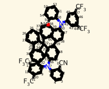 N#Cc1ccccc1N(c1cc(C(F)(F)F)cc(C(F)(F)F)c1)c1ccc2c(c1)C1(c3ccccc3-c3ccccc31)c1cccc3c(N(c4cc(C(F)(F)F)cc(C(F)(F)F)c4)c4ccccc4C#N)ccc-2c13